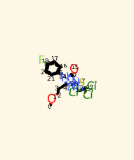 COCCC1NN(SC(Cl)(Cl)Cl)C(=O)N1c1ccc(F)cc1